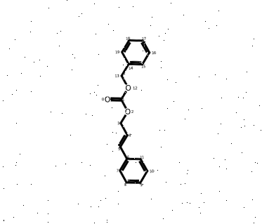 O=C(OCC=Cc1ccccc1)OCc1ccccc1